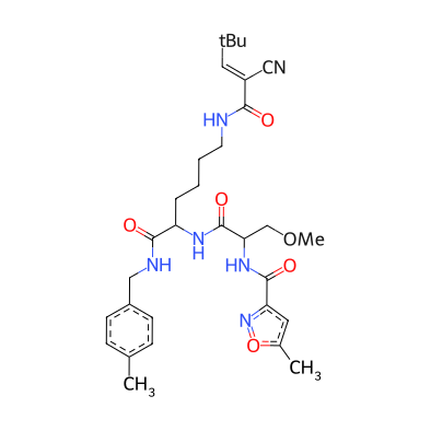 COCC(NC(=O)c1cc(C)on1)C(=O)NC(CCCCNC(=O)C(C#N)=CC(C)(C)C)C(=O)NCc1ccc(C)cc1